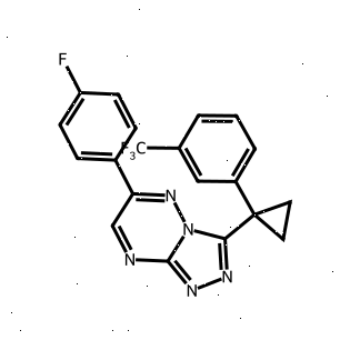 Fc1ccc(-c2cnc3nnc(C4(c5cccc(C(F)(F)F)c5)CC4)n3n2)cc1